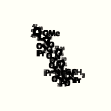 COC1=CC(=O)N(C(=O)[C@H](OC(=O)[C@@H]2CCCN2C(=O)[C@@H]2CCCN2C(=O)[C@@H](NC(=O)[C@@H](NC(=O)[C@H](C(C)C)N(C)C)C(C)C)C(C)C)C(C)C)[C@H]1Cc1ccccc1